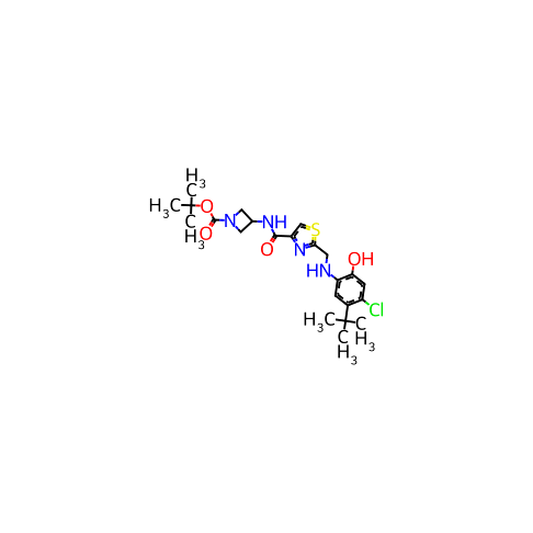 CC(C)(C)OC(=O)N1CC(NC(=O)c2csc(CNc3cc(C(C)(C)C)c(Cl)cc3O)n2)C1